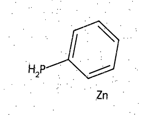 Pc1ccccc1.[Zn]